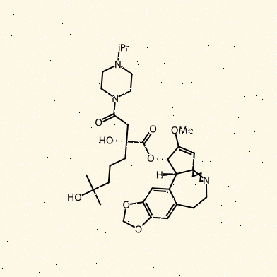 COC1=C[C@]23CCCN2CCc2cc4c(cc2[C@@H]3[C@@H]1OC(=O)[C@@](O)(CCCC(C)(C)O)CC(=O)N1CCN(C(C)C)CC1)OCO4